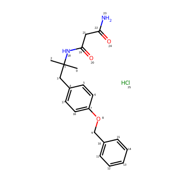 CC(C)(Cc1ccc(OCc2ccccc2)cc1)NC(=O)CC(N)=O.Cl